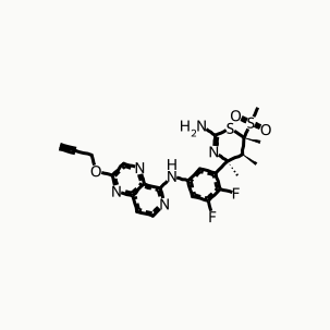 C#CCOc1cnc2c(Nc3cc(F)c(F)c([C@@]4(C)N=C(N)S[C@](C)(S(C)(=O)=O)[C@H]4C)c3)nccc2n1